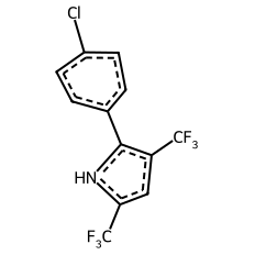 FC(F)(F)c1cc(C(F)(F)F)c(-c2ccc(Cl)cc2)[nH]1